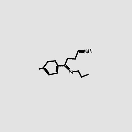 CCC/N=C(\CCC=N)C1=CC=C(C)CC1